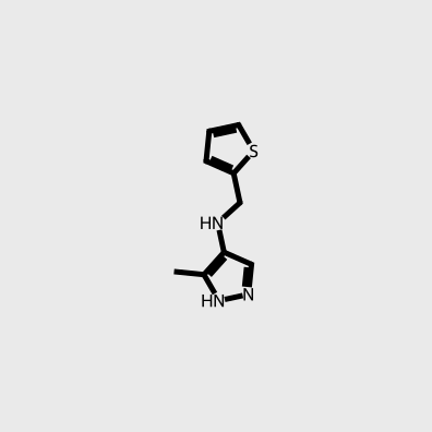 Cc1[nH]ncc1NCc1cccs1